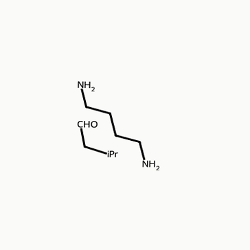 CC(C)CC=O.NCCCCN